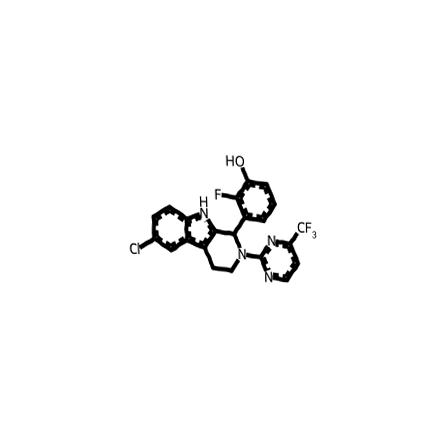 Oc1cccc(C2c3[nH]c4ccc(Cl)cc4c3CCN2c2nccc(C(F)(F)F)n2)c1F